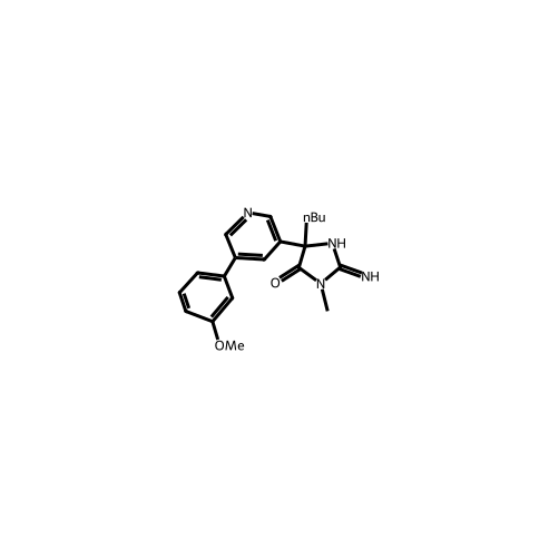 CCCCC1(c2cncc(-c3cccc(OC)c3)c2)NC(=N)N(C)C1=O